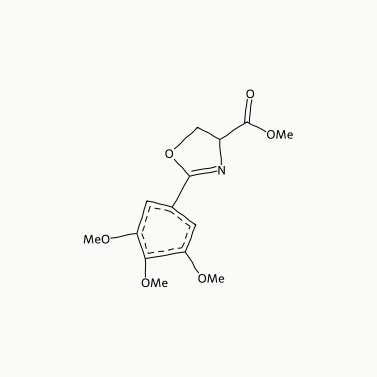 COC(=O)C1COC(c2cc(OC)c(OC)c(OC)c2)=N1